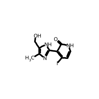 Cc1nc(-c2c(I)cc[nH]c2=O)[nH]c1CO